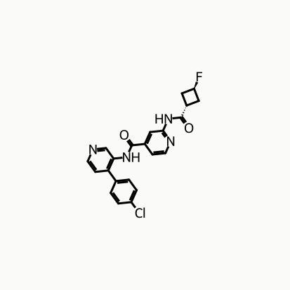 O=C(Nc1cnccc1-c1ccc(Cl)cc1)c1ccnc(NC(=O)[C@H]2C[C@H](F)C2)c1